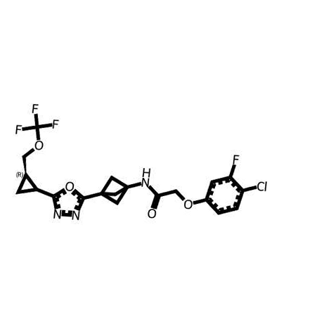 O=C(COc1ccc(Cl)c(F)c1)NC12CC(c3nnc(C4C[C@H]4COC(F)(F)F)o3)(C1)C2